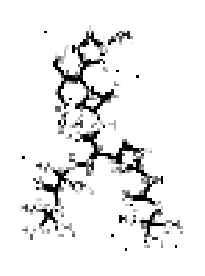 Bn1nnc(C2=C(CCl)C[S+]([O-])[C@@H]3[C@H](NC(=O)/C(=N\OC(C)(C)C(=O)OC(C)(C)C)c4csc(NC(=O)OC(C)(C)C)n4)C(=O)N23)n1